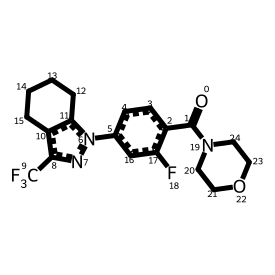 O=C(c1ccc(-n2nc(C(F)(F)F)c3c2CCCC3)cc1F)N1CCOCC1